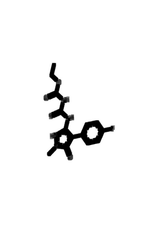 CCOC(=O)NC(=S)Nc1[nH]n(C)c(=O)c1-c1ccc(F)cc1